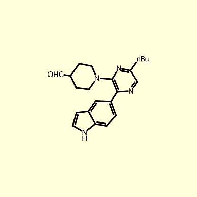 CCCCc1cnc(-c2ccc3[nH]ccc3c2)c(N2CCC(C=O)CC2)n1